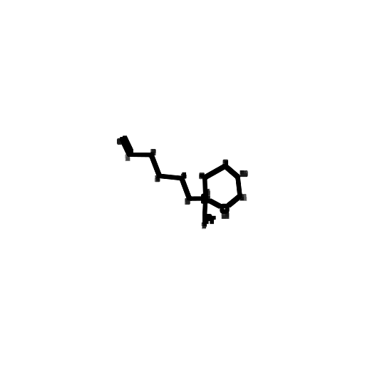 C=CCCCC[Si]1(C(C)C)CCCCO1